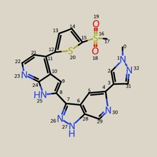 Cn1cc(-c2cc3c(-c4cc5c(-c6ccc(S(C)(=O)=O)s6)ccnc5[nH]4)n[nH]c3cn2)cn1